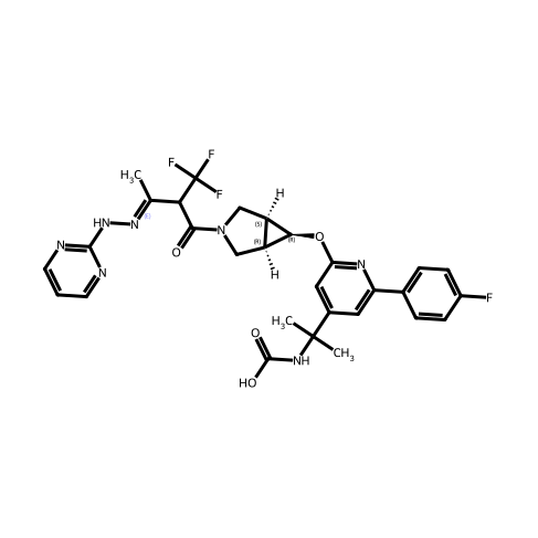 C/C(=N\Nc1ncccn1)C(C(=O)N1C[C@@H]2[C@H](C1)[C@@H]2Oc1cc(C(C)(C)NC(=O)O)cc(-c2ccc(F)cc2)n1)C(F)(F)F